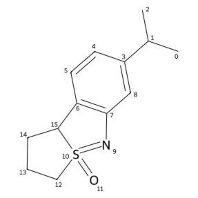 CC(C)c1ccc2c(c1)N=S1(=O)CCCC21